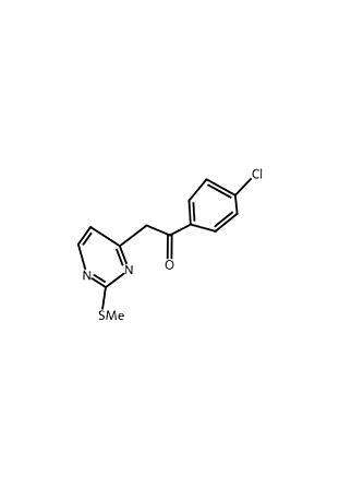 CSc1nccc(CC(=O)c2ccc(Cl)cc2)n1